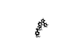 CC(C)(C)c1ccc(C(=O)Nc2cn3nc(N4CCCC4c4ccncc4)ccc3n2)cc1